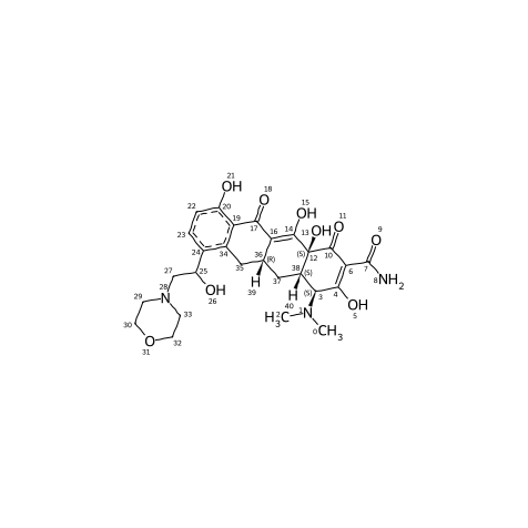 CN(C)[C@@H]1C(O)=C(C(N)=O)C(=O)[C@@]2(O)C(O)=C3C(=O)c4c(O)ccc(C(O)CN5CCOCC5)c4C[C@H]3C[C@@H]12